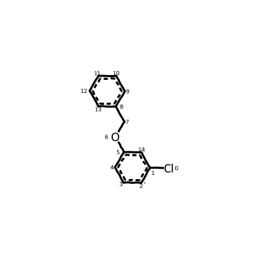 Clc1[c]ccc(OCc2ccccc2)c1